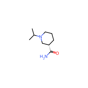 CC(C)N1CCC[C@H](C(N)=O)C1